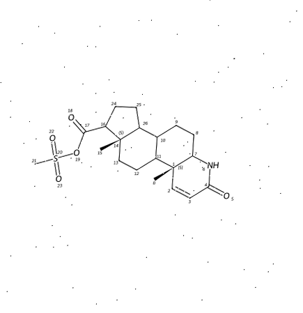 C[C@]12C=CC(=O)NC1CCC1C2CC[C@]2(C)C(C(=O)OS(C)(=O)=O)CCC12